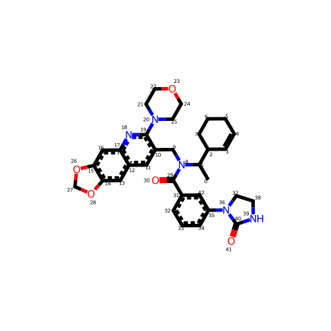 CC(C1C=CCCC1)N(Cc1cc2cc3c(cc2nc1N1CCOCC1)OCO3)C(=O)c1cccc(N2CCNC2=O)c1